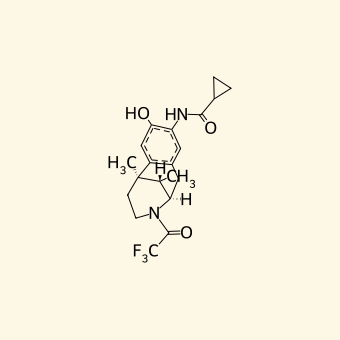 C[C@@H]1[C@H]2Cc3cc(NC(=O)C4CC4)c(O)cc3[C@]1(C)CCN2C(=O)C(F)(F)F